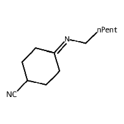 CCCCCCN=C1CCC(C#N)CC1